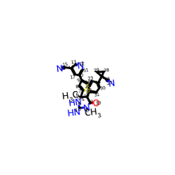 CN1C(=N)N[C@](C)(c2cc(-c3cncc(C#N)c3)cs2)C(c2ccc(C3(C#N)CC3)cc2)C1=O